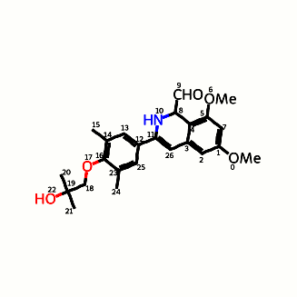 COc1cc2c(c(OC)c1)C(C=O)NC(c1cc(C)c(OCC(C)(C)O)c(C)c1)=C2